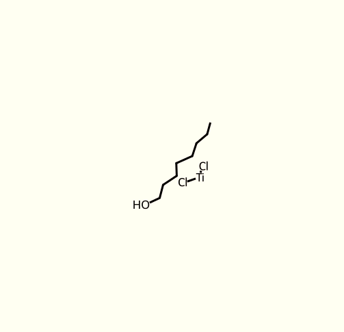 CCCCCCCCO.[Cl][Ti][Cl]